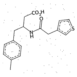 Cc1ccc(CC(CC(=O)O)NC(=O)Cc2ccsc2)cc1